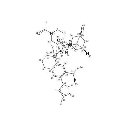 CC(=O)N1CCc2c(c(N3CCCc4cc(-c5cnn(C)c5)c(C(F)F)cc43)nn2C2[C@@H]3C[C@H]2CN(C(=O)OC(C)(C)C)C3)C1